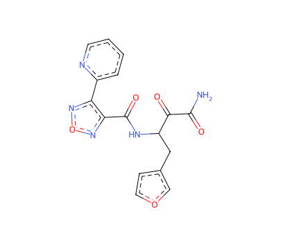 NC(=O)C(=O)C(Cc1ccoc1)NC(=O)c1nonc1-c1ccccn1